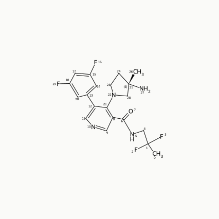 CC(F)(F)CNC(=O)c1cncc(-c2cc(F)cc(F)c2)c1N1CC[C@](C)(N)C1